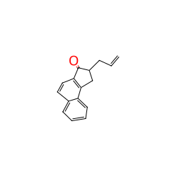 C=CCC1Cc2c(ccc3ccccc23)C1=O